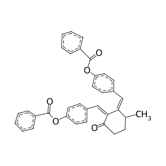 CC1CCC(=O)C(=Cc2ccc(OC(=O)c3ccccc3)cc2)C1=Cc1ccc(OC(=O)c2ccccc2)cc1